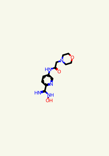 N=C(NO)c1ccc(NC(=O)CN2CCOCC2)cn1